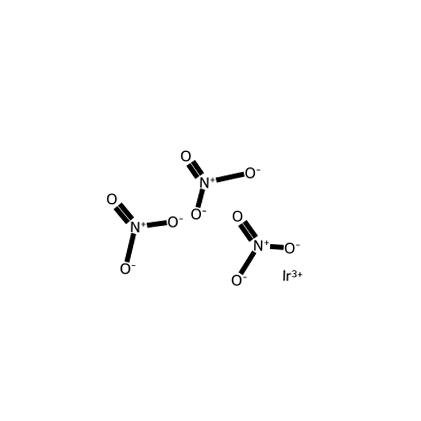 O=[N+]([O-])[O-].O=[N+]([O-])[O-].O=[N+]([O-])[O-].[Ir+3]